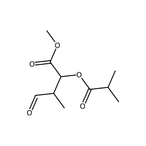 COC(=O)C(OC(=O)C(C)C)C(C)C=O